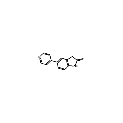 O=C1Cc2cc(-c3ccncc3)ccc2N1